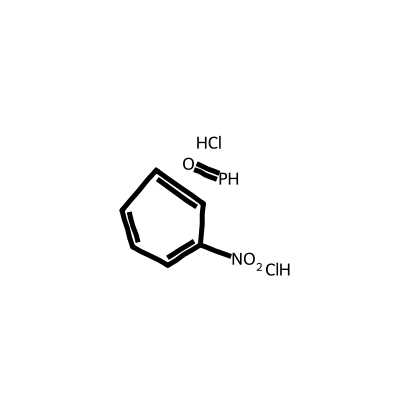 Cl.Cl.O=P.O=[N+]([O-])c1ccccc1